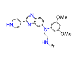 COc1cc(OC)cc(N(CCNC(C)C)c2ccc3ncc(C4=CCNC=C4)nc3c2)c1